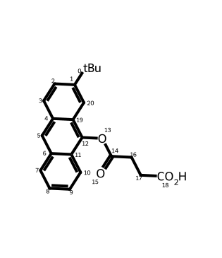 CC(C)(C)c1ccc2cc3ccccc3c(OC(=O)CCC(=O)O)c2c1